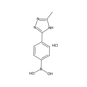 Cc1nnc(-c2ccc(B(O)O)cc2)[nH]1.Cl